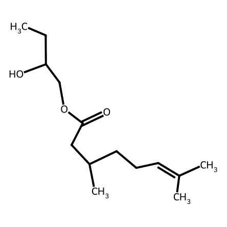 CCC(O)COC(=O)CC(C)CCC=C(C)C